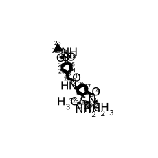 CCN(C(=O)c1ccc(NC(=O)Cc2ccc(S(=O)(=O)NC3CC3)cc2)cc1)C(N)SC(C)N